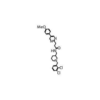 COc1ccc(-c2cnc(CCC(=O)NCC3CCCN(Cc4cccc(Cl)c4Cl)C3)nc2)cc1